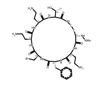 CNN[C@H]1CCNC(=O)C([C@@H](C)O)NC(=O)[C@H](CCN)NC(=O)[C@H](CCN)NC(=O)[C@H](CC(C)C)NC(=O)[C@@H](Cc2ccccc2)NC(=O)[C@H](CCN)NC1=O